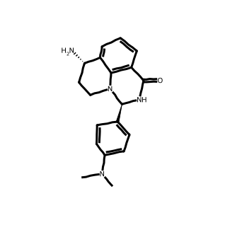 CN(C)c1ccc([C@@H]2NC(=O)c3cccc4c3N2CC[C@@H]4N)cc1